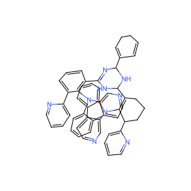 C1=CC(C2N=C(c3cccc(-c4ccccn4)c3-n3c4ccccc4c4ccncc43)NC(C3=C(n4c5ccccc5c5ccncc54)C(c4ccccn4)CCC3)N2)=CCC1